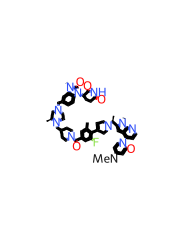 CNc1ccn(-c2ccnc3c2cc([C@H](C)N2CC=C(c4c(C)cc(C(=O)N5CCC(CN6CCN(Cc7ccc8c(c7)n(C)c(=O)n8C7CCC(=O)NC7=O)C[C@@H]6C)CC5)cc4F)CC2)n3C)c(=O)c1